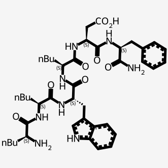 CCCC[C@H](NC(=O)[C@H](Cc1c[nH]c2ccccc12)NC(=O)[C@H](CCCC)NC(=O)[C@@H](N)CCCC)C(=O)N[C@@H](CC(=O)O)C(=O)N[C@@H](Cc1ccccc1)C(N)=O